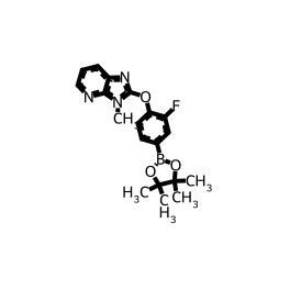 Cn1c(Oc2ccc(B3OC(C)(C)C(C)(C)O3)cc2F)nc2cccnc21